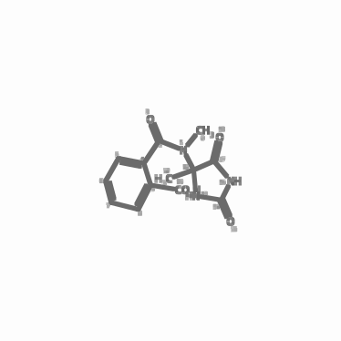 CN(C(=O)c1ccccc1C(=O)O)C1(C)NC(=O)NC1=O